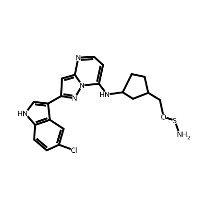 NSOCC1CCC(Nc2ccnc3cc(-c4c[nH]c5ccc(Cl)cc45)nn23)C1